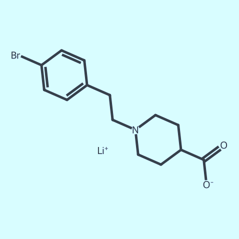 O=C([O-])C1CCN(CCc2ccc(Br)cc2)CC1.[Li+]